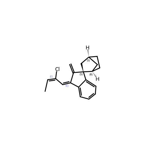 C=C1/C(=C\C(Cl)=C/C)c2ccccc2[C@]12C[C@H]1CC[C@@H]2C1